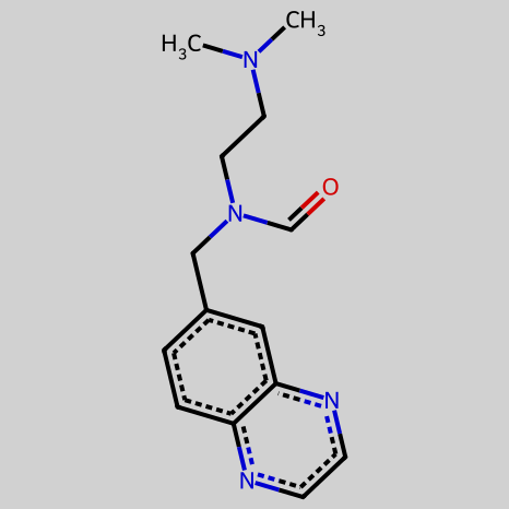 CN(C)CCN(C=O)Cc1ccc2nccnc2c1